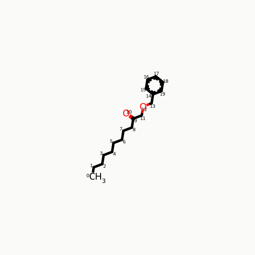 CCCCCCCCCC(=O)COCc1ccccc1